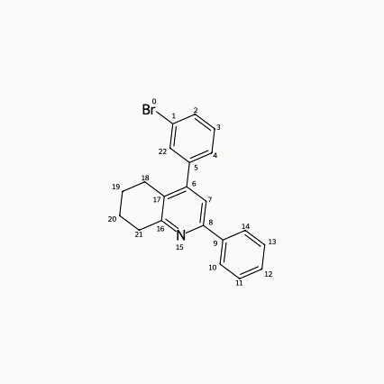 Brc1cccc(-c2cc(-c3ccccc3)nc3c2CCCC3)c1